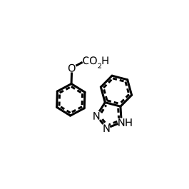 O=C(O)Oc1ccccc1.c1ccc2[nH]nnc2c1